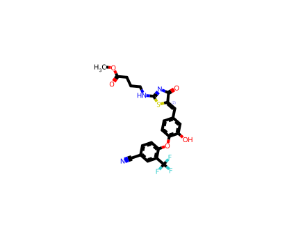 COC(=O)CCCNC1=NC(=O)/C(=C/c2ccc(Oc3ccc(C#N)cc3C(F)(F)F)c(O)c2)S1